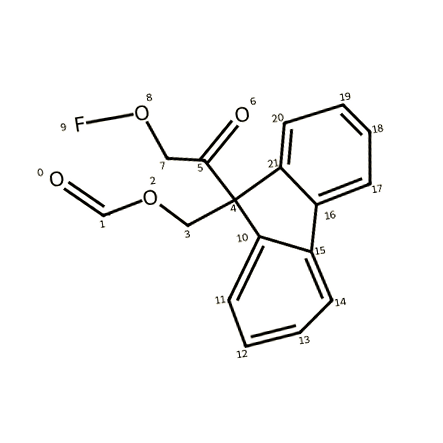 O=[C]OCC1(C(=O)COF)c2ccccc2-c2ccccc21